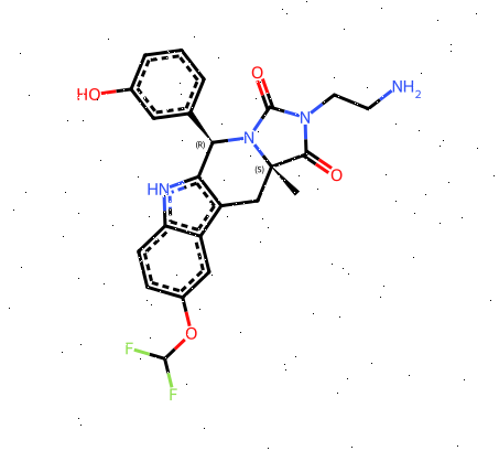 C[C@@]12Cc3c([nH]c4ccc(OC(F)F)cc34)[C@@H](c3cccc(O)c3)N1C(=O)N(CCN)C2=O